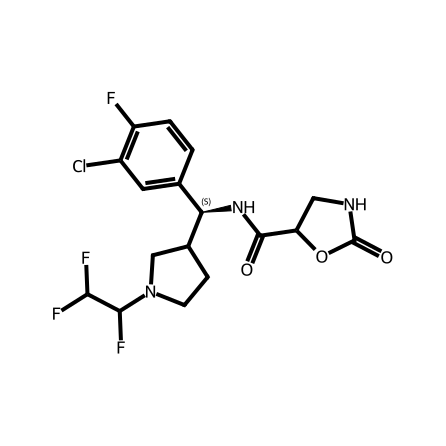 O=C1NCC(C(=O)N[C@H](c2ccc(F)c(Cl)c2)C2CCN(C(F)C(F)F)C2)O1